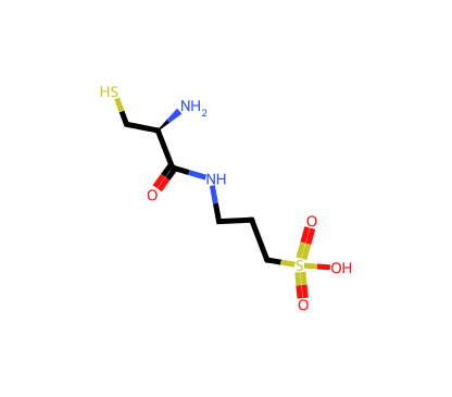 N[C@H](CS)C(=O)NCCCS(=O)(=O)O